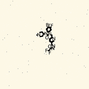 CN1CCC(n2c(=O)n(Cc3ccc(-c4nnc(C(F)F)o4)cn3)c3cc(F)c(Br)cc32)CC1